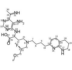 COC[C@@H](F)CN(CCCCc1ccc2c(n1)NCCC2)CCC(NC1=C(N)C(C(C)=N)=NCN1)C(=O)O